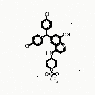 O=S(=O)(N1CCC(Nc2ccnc3c(O)cc(C(c4ccc(Cl)cc4)c4ccc(Cl)cc4)cc23)CC1)C(F)(F)F